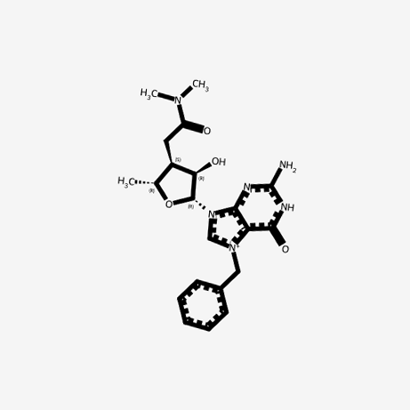 C[C@H]1O[C@@H](n2c[n+](Cc3ccccc3)c3c(=O)[nH]c(N)nc32)[C@H](O)[C@@H]1CC(=O)N(C)C